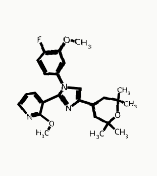 COc1cc(-n2cc(C3CC(C)(C)OC(C)(C)C3)nc2-c2cccnc2OC)ccc1F